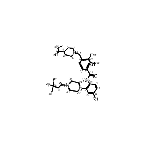 NC(=O)C1CCN(Cc2ccc(C(=O)Nc3ccc(Cl)cc3N3CCN(CCC(F)(F)F)CC3)c(F)c2F)CC1